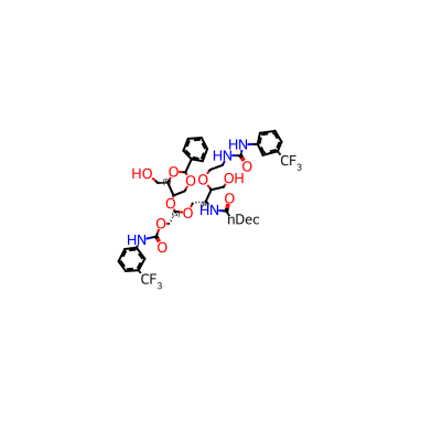 CCCCCCCCCCC(=O)N[C@H](CO[C@H](COC(=O)Nc1cccc(C(F)(F)F)c1)OC1COC(c2ccccc2)O[C@@H]1CO)C(CO)OCCNC(=O)Nc1cccc(C(F)(F)F)c1